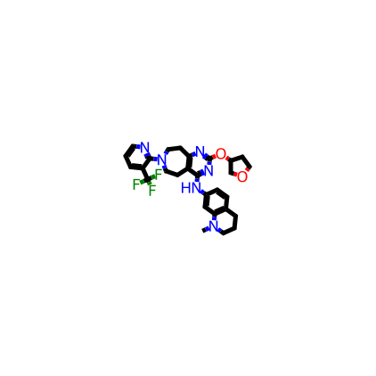 CN1CCCc2ccc(Nc3nc(OC4CCOC4)nc4c3CCN(c3ncccc3C(F)(F)F)CC4)cc21